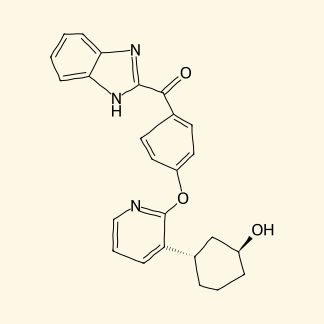 O=C(c1ccc(Oc2ncccc2[C@H]2CCC[C@H](O)C2)cc1)c1nc2ccccc2[nH]1